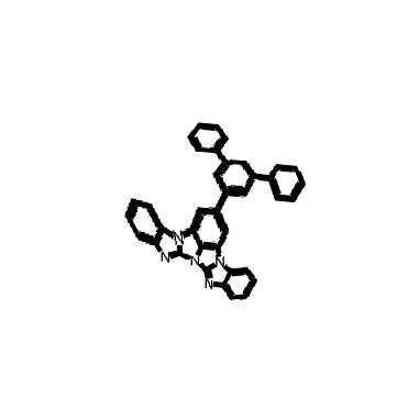 c1ccc(-c2cc(-c3ccccc3)cc(-c3cc4c5c(c3)n3c6ccccc6nc3n5c3nc5ccccc5n43)c2)cc1